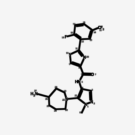 Cn1ncc(NC(=O)c2csc(-c3cc(C(F)(F)F)ccc3F)n2)c1N1CCCC(N)CC1